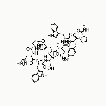 CCNC(=O)[C@@H]1CCCN1C(=O)[C@H](Cc1ccc(O)cc1)NC(=O)[C@H](Cc1c[nH]c2ccccc12)NC(=O)[C@@H](COC(C)(C)C)NC(=O)[C@H](Cc1c[nH]cn1)NC(=O)[C@H](CO)NC(=O)[C@H](Cc1c[nH]c2ccccc12)NC(=O)[C@H](Cc1c[nH]cn1)NC(=O)[C@@H]1CCC(=O)N1